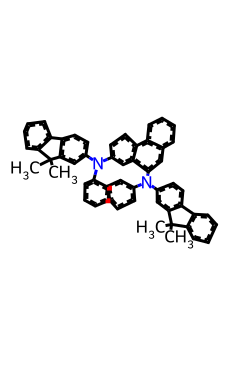 CC1(C)c2ccccc2-c2ccc(N(c3ccccc3)c3ccc4c(c3)c(N(c3ccccc3)c3ccc5c(c3)C(C)(C)c3ccccc3-5)cc3ccccc34)cc21